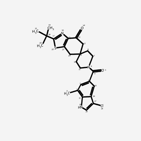 Cc1cc(C(=O)N2CCC3(CC2)CC(=O)c2nc(C(C)(C)C)sc2C3)cc2c(Cl)c[nH]c12